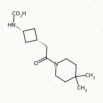 CC1(C)CCN(C(=O)C[C@H]2C[C@@H](NC(=O)O)C2)CC1